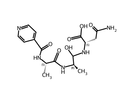 C[C@H](NC(=O)c1ccncc1)C(=O)N[C@H](C)C(O)N[C@@H](CC(N)=O)C(=O)O